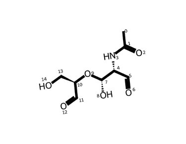 CC(=O)N[C@H](C=O)[C@H](O)O[C@@H](C=O)CO